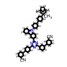 CC1(c2ccc(-c3ccc(-n4c5ccccc5c5cc(-c6nc(-c7ccc(-c8cccc(C#N)c8)cc7)nc(-c7cccc(-c8cccc(C#N)c8)c7)n6)ccc54)cc3)cc2)C[C@@H]2CC[C@@H](C2)C1